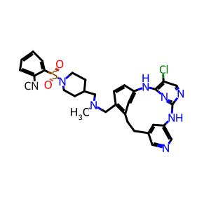 CN(Cc1ccc2cc1CCc1cncc(c1)Nc1ncc(Cl)c(n1)N2)CC1CCN(S(=O)(=O)c2ccccc2C#N)CC1